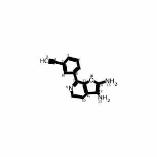 C#Cc1cccc(-c2nccc3c(N)c(N)oc23)c1